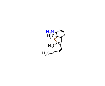 C=CC/C=C\C1C2C3=CC=CC(N)C3(C)SC12C